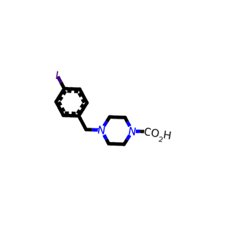 O=C(O)N1CCN(Cc2ccc(I)cc2)CC1